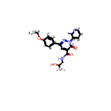 O=C(NCC(O)C(F)(F)F)c1cc(-c2ccc(OCC(F)(F)F)cc2)nn(-c2cccnc2)c1=O